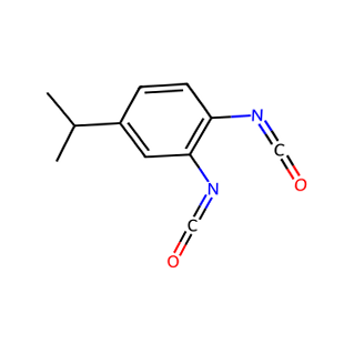 CC(C)c1ccc(N=C=O)c(N=C=O)c1